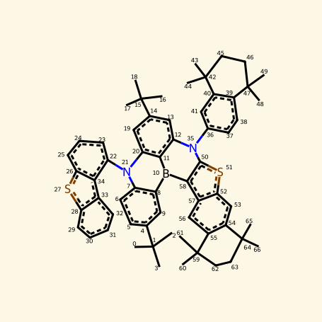 CC(C)(C)c1ccc2c(c1)B1c3c(cc(C(C)(C)C)cc3N2c2cccc3sc4ccccc4c23)N(c2ccc3c(c2)C(C)(C)CCC3(C)C)c2sc3cc4c(cc3c21)C(C)(C)CCC4(C)C